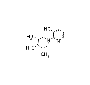 C[C@@H]1CN(c2ncccc2C#N)C[C@H](C)N1C